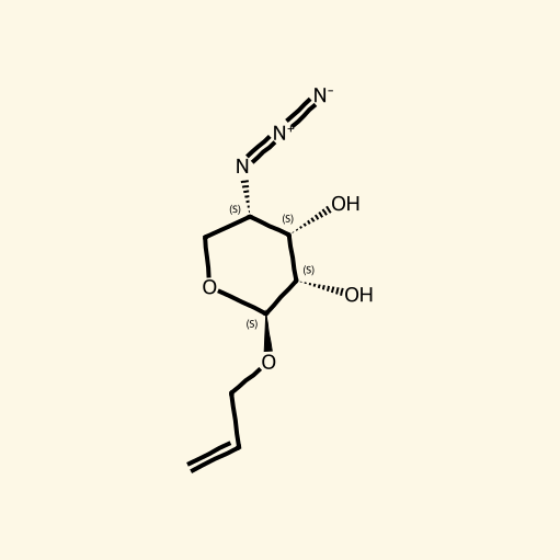 C=CCO[C@H]1OC[C@H](N=[N+]=[N-])[C@H](O)[C@@H]1O